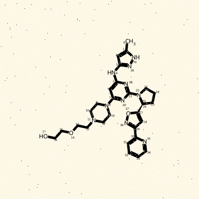 Cc1cc(Nc2cc(N3CCN(CCOCCO)CC3)nc(N3CCC[C@H]3c3cc(-c4ccccn4)no3)n2)n[nH]1